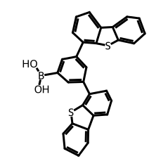 OB(O)c1cc(-c2cccc3c2sc2ccccc23)cc(-c2cccc3c2sc2ccccc23)c1